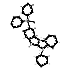 C[Si](c1ccccc1)(c1ccccc1)c1ccc2nc3n(-c4ccccc4)c4ccccc4n3c2c1